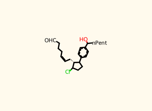 CCCCCC(O)c1ccc(C2CCC(Cl)[C@@H]2C/C=C\CCCC=O)cc1